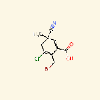 CC1(C#N)C=C(C(=O)O)C(CBr)=C(Cl)C1